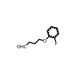 O=[C]CCCOc1ccccc1F